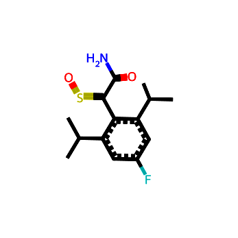 CC(C)c1cc(F)cc(C(C)C)c1C(=S=O)C(N)=O